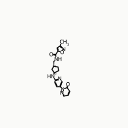 Cc1cc(C(=O)NC[C@H]2CC[C@@H](Nc3ccc(-n4ncccc4=O)cn3)C2)on1